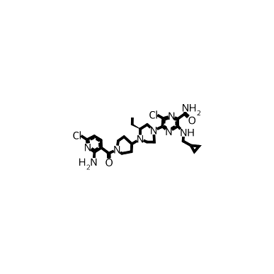 CC[C@H]1CN(c2nc(NCC3CC3)c(C(N)=O)nc2Cl)CCN1C1CCN(C(=O)c2ccc(Cl)nc2N)CC1